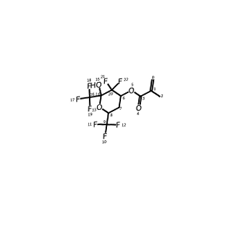 C=C(C)C(=O)OC1CC(C(F)(F)F)OC(O)(C(F)(F)F)C1(F)F